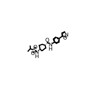 CC(C)S(=O)(=O)N[C@H]1CC[C@H](C(=O)Nc2ccc(-c3ccno3)cc2)CC1